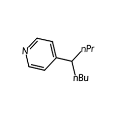 CCCCC(CCC)c1ccncc1